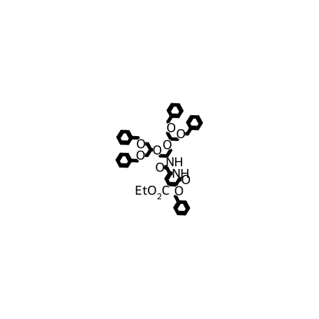 CCOC(=O)c1cc(C(=O)NC(COC(COCc2ccccc2)COCc2ccccc2)COC(COCc2ccccc2)COCc2ccccc2)[nH]c(=O)c1OCc1ccccc1